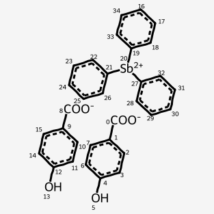 O=C([O-])c1ccc(O)cc1.O=C([O-])c1ccc(O)cc1.c1cc[c]([Sb+2]([c]2ccccc2)[c]2ccccc2)cc1